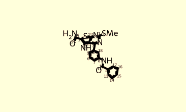 CSc1nc(-c2cccc(NC(=O)c3ccccc3)c2)c2c(N)c(C(N)=O)sc2n1